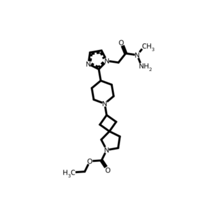 CCOC(=O)N1CCC2(CC(N3CCC(c4nccn4CC(=O)N(C)N)CC3)C2)C1